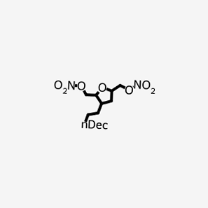 CCCCCCCCCCCCC1CC(CO[N+](=O)[O-])OC1CO[N+](=O)[O-]